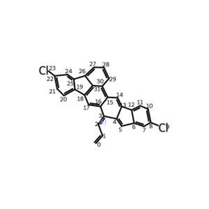 C=C/C=c1\c2cc3cc(Cl)ccc3c2cc2c1cc1c3ccc(Cl)cc3c3cccc2c31